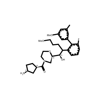 COCCCC(c1cccc(F)c1-c1cc(C)cc(OC)c1)[C@@H](O)[C@H]1CN(C(=O)[C@@H]2CC[C@H](N)C2)CCO1